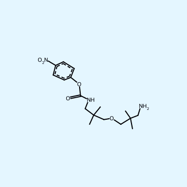 CC(C)(CN)COCC(C)(C)CNC(=O)Oc1ccc([N+](=O)[O-])cc1